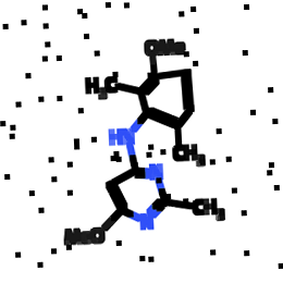 COc1cc(Nc2c(C)ccc(OC)c2C)nc(C)n1